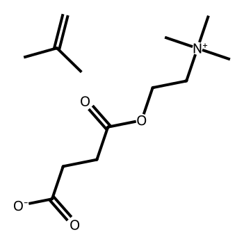 C=C(C)C.C[N+](C)(C)CCOC(=O)CCC(=O)[O-]